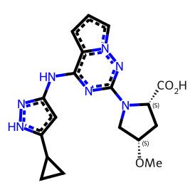 CO[C@H]1C[C@@H](C(=O)O)N(c2nc(Nc3cc(C4CC4)[nH]n3)c3cccn3n2)C1